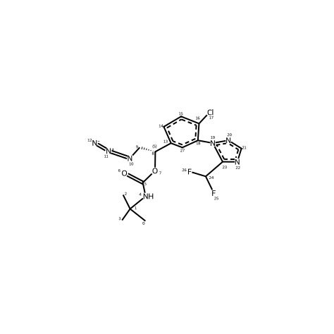 CC(C)(C)NC(=O)O[C@H](CN=[N+]=[N-])c1ccc(Cl)c(-n2ncnc2C(F)F)c1